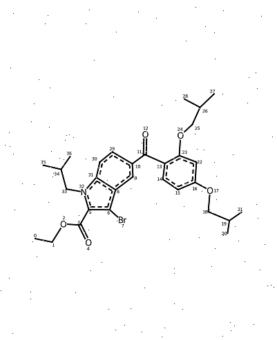 CCOC(=O)c1c(Br)c2cc(C(=O)c3ccc(OCC(C)C)cc3OCC(C)C)ccc2n1CC(C)C